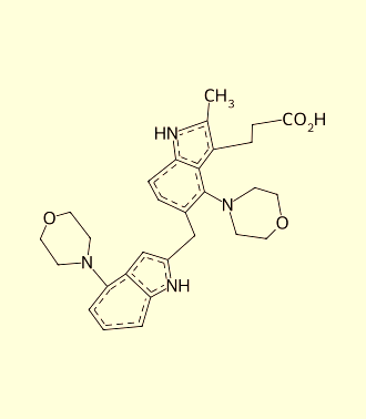 Cc1[nH]c2ccc(Cc3cc4c(N5CCOCC5)cccc4[nH]3)c(N3CCOCC3)c2c1CCC(=O)O